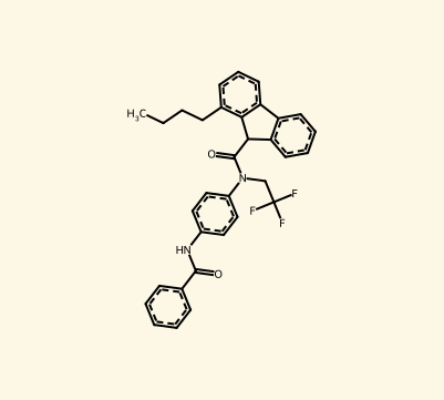 CCCCc1cccc2c1C(C(=O)N(CC(F)(F)F)c1ccc(NC(=O)c3ccccc3)cc1)c1ccccc1-2